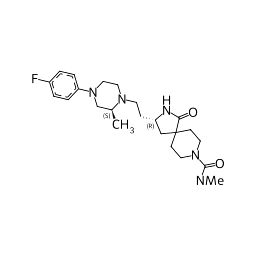 CNC(=O)N1CCC2(CC1)C[C@H](CCN1CCN(c3ccc(F)cc3)C[C@@H]1C)NC2=O